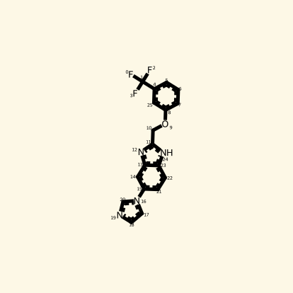 FC(F)(F)c1cccc(OCc2nc3cc(-n4ccnc4)ccc3[nH]2)c1